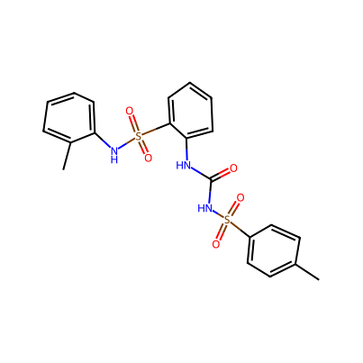 Cc1ccc(S(=O)(=O)NC(=O)Nc2ccccc2S(=O)(=O)Nc2ccccc2C)cc1